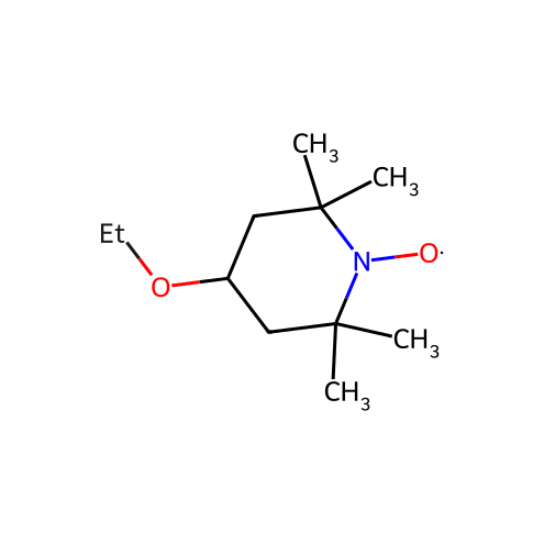 CCOC1CC(C)(C)N([O])C(C)(C)C1